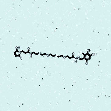 O=C(CCN1C(=O)C=CC1O)NCCOCCOCCOCCOCCC(=O)NN=Cc1c(Cl)cc(O)c(O)c1Cl